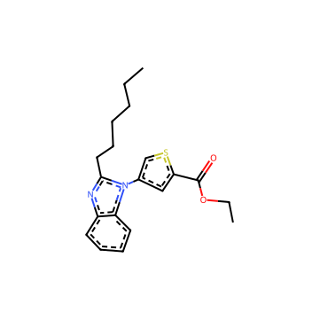 CCCCCCc1nc2ccccc2n1-c1csc(C(=O)OCC)c1